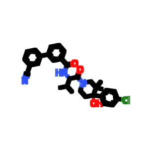 CC(C)[C@@H](NC(=O)c1cccc(-c2cccc(C#N)c2)c1)C(=O)N1CC[C@](O)(c2ccc(Cl)cc2)C(C)(C)C1